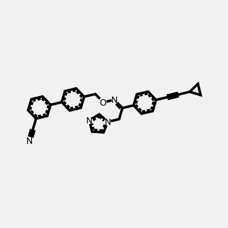 N#Cc1cccc(-c2ccc(CO/N=C(\Cn3ccnc3)c3ccc(C#CC4CC4)cc3)cc2)c1